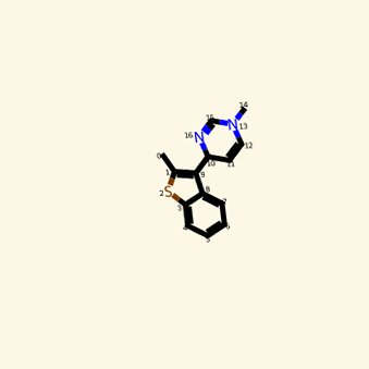 Cc1sc2ccccc2c1C1C=CN(C)C=N1